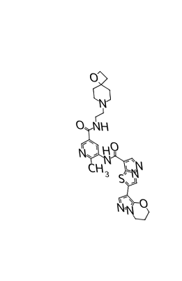 Cc1ncc(C(=O)NCCN2CCC3(CCO3)CC2)cc1NC(=O)c1cnn2cc(-c3cnn4c3OCCC4)sc12